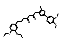 CCOc1ccc(CCCC(=O)CC(=O)CC2=C(C)CC(c3ccc(OC)c(OC)c3)=C2)cc1OCC